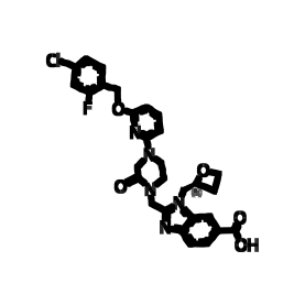 O=C(O)c1ccc2nc(CN3CCN(c4cccc(OCc5ccc(Cl)cc5F)n4)CC3=O)n(C[C@@H]3CCO3)c2c1